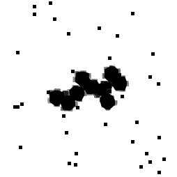 c1ccc(-c2nc(-n3c4ccccc4c4ccccc43)nc3c2sc2cc4c(cc23)c2ccccc2n4-c2ccc(-c3cccc4c3oc3ccccc34)cc2)cc1